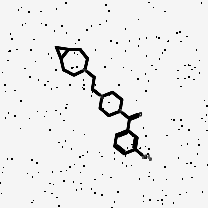 Nc1cccc(C(=O)N2CCN(CCN3CCC4CC4CC3)CC2)c1